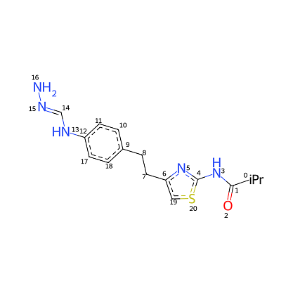 CC(C)C(=O)Nc1nc(CCc2ccc(NC=NN)cc2)cs1